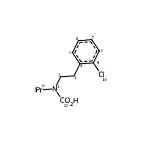 CC(C)N(CCc1ccccc1Cl)C(=O)O